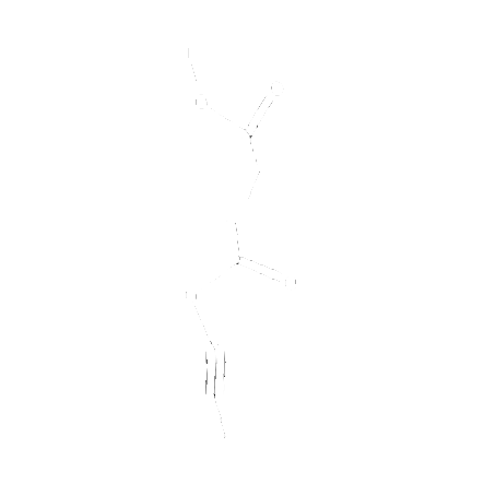 CC#COC(=O)CCC(=O)OI